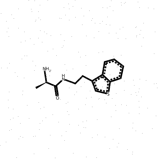 C[C@@H](N)C(=O)NCCc1csc2ccccc12